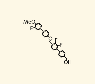 COc1ccc(-c2ccc(OCc3ccc(-c4ccc(CO)cc4)c(F)c3F)cc2)cc1F